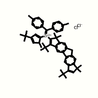 Cc1ccc([C](c2ccc(C)cc2)=[Zr+2]([C]2=CC(C(C)(C)C)=CC2C)[C]2=C(C(C)(C)C)c3cc4c(cc3C2(C)C)Cc2cc3c(cc2-4)C(C(C)(C)C)=CC3(C)C)cc1.[Cl-].[Cl-]